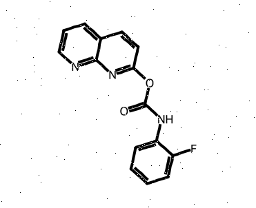 O=C(Nc1ccccc1F)Oc1ccc2cccnc2n1